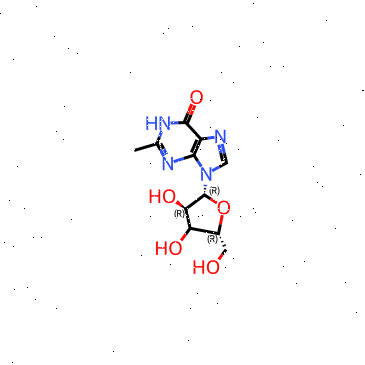 Cc1nc2c(ncn2[C@@H]2O[C@H](CO)C(O)[C@H]2O)c(=O)[nH]1